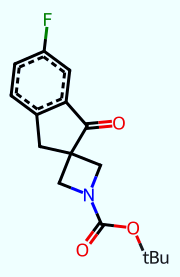 CC(C)(C)OC(=O)N1CC2(Cc3ccc(F)cc3C2=O)C1